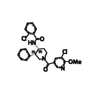 COc1ncc(C(=O)N2CC[C@@H](NC(=O)c3ccccc3Cl)[C@@H](c3ccccc3)C2)cc1Cl